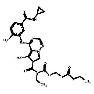 CCCC(=O)OCOC(=O)N(CC)C(=O)C1CN2N=CN=C(Nc3cc(C(=O)NC4CC4)ccc3C)C2=C1C